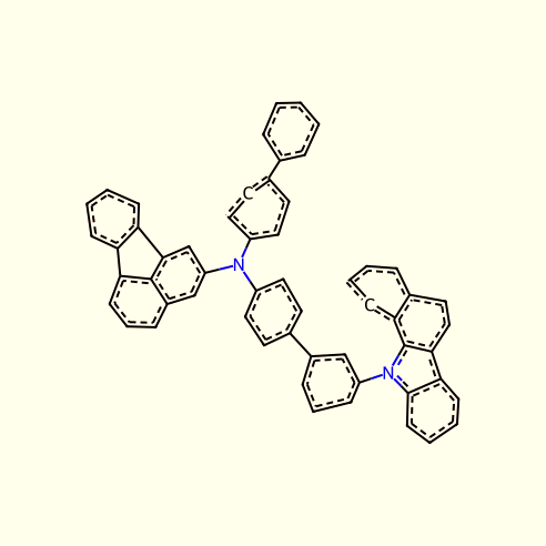 c1ccc(-c2ccc(N(c3ccc(-c4cccc(-n5c6ccccc6c6ccc7ccccc7c65)c4)cc3)c3cc4c5c(cccc5c3)-c3ccccc3-4)cc2)cc1